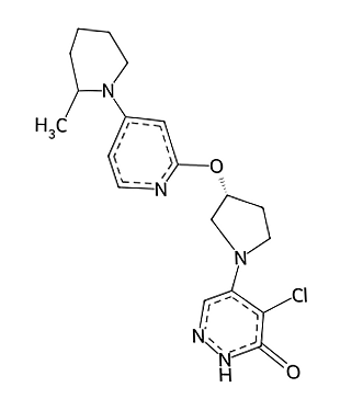 CC1CCCCN1c1ccnc(O[C@@H]2CCN(c3cn[nH]c(=O)c3Cl)C2)c1